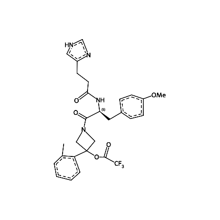 COc1ccc(C[C@H](NC(=O)CCc2c[nH]cn2)C(=O)N2CC(OC(=O)C(F)(F)F)(c3ccccc3C)C2)cc1